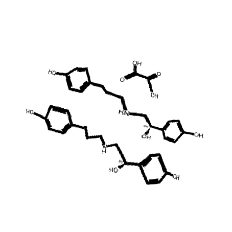 O=C(O)C(=O)O.Oc1ccc(CCCNC[C@H](O)c2ccc(O)cc2)cc1.Oc1ccc(CCCNC[C@H](O)c2ccc(O)cc2)cc1